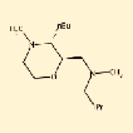 CCCC[C@@H]1[C@@H](CN(C)CC(C)C)OCCN1C